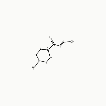 CC(=O)N1CCN(C(=O)C=CCl)CC1